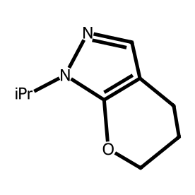 CC(C)n1ncc2c1OCCC2